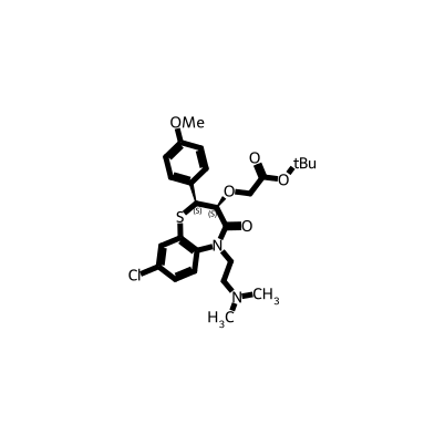 COc1ccc([C@@H]2Sc3cc(Cl)ccc3N(CCN(C)C)C(=O)[C@@H]2OCC(=O)OC(C)(C)C)cc1